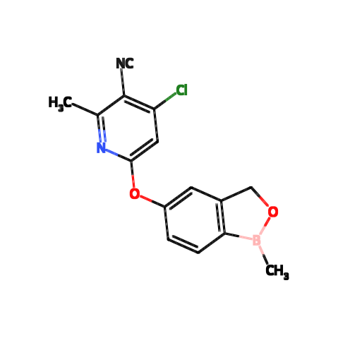 [C-]#[N+]c1c(Cl)cc(Oc2ccc3c(c2)COB3C)nc1C